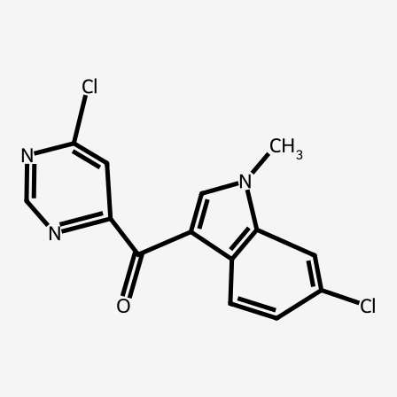 Cn1cc(C(=O)c2cc(Cl)ncn2)c2ccc(Cl)cc21